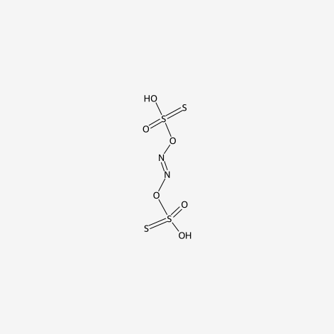 O=S(O)(=S)ON=NOS(=O)(O)=S